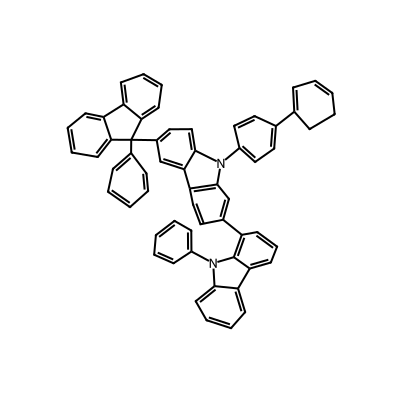 C1=CCCC(c2ccc(-n3c4ccc(C5(c6ccccc6)c6ccccc6-c6ccccc65)cc4c4ccc(-c5cccc6c7ccccc7n(-c7ccccc7)c56)cc43)cc2)=C1